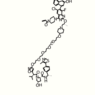 C=CC(=O)N1CCN(c2nc(O[C@H](C)CN3CCC(OCCOCCOCCOCCOCCOc4cc([C@@H](C(=O)N5C[C@H](O)C[C@H]5C(=O)N[C@@H](C)c5ccc(-c6scnc6C)cc5)C(C)C)on4)CC3)nc3c(F)c(-c4cc(O)cc5ccccc45)c(Cl)cc23)CC1